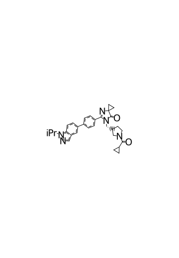 CC(C)n1ncc2cc(-c3ccc(C4=NC5(CC5)C(=O)N4C[C@@H]4CCN(C(=O)C5CC5)C4)cc3)ccc21